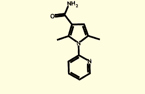 Cc1cc(C(N)=O)c(C)n1-c1ccccn1